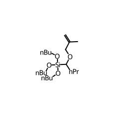 C=C(C)COC(CCC)[Si](OCCCC)(OCCCC)OCCCC